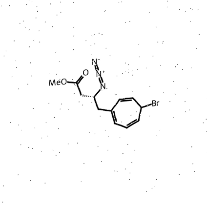 COC(=O)C[C@@H](CC1=CC=CC(Br)C=C1)N=[N+]=[N-]